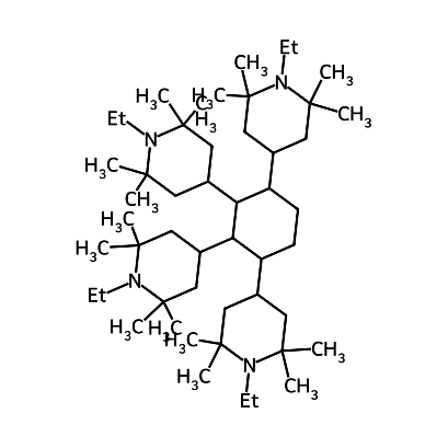 CCN1C(C)(C)CC(C2CCC(C3CC(C)(C)N(CC)C(C)(C)C3)C(C3CC(C)(C)N(CC)C(C)(C)C3)C2C2CC(C)(C)N(CC)C(C)(C)C2)CC1(C)C